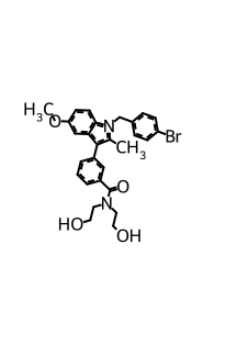 COc1ccc2c(c1)c(-c1cccc(C(=O)N(CCO)CCO)c1)c(C)n2Cc1ccc(Br)cc1